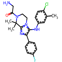 Cc1cc(Nc2c(-c3ccc(F)cc3)nc3n2CCN(C(=O)CN)C3(C)C)ccc1Cl